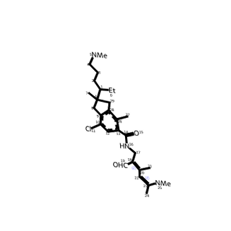 CCC(CCCNC)C1(C)Cc2c(Cl)cc(C(=O)NC/C(C=O)=C(C)/C=C(/C)NC)c(C)c2C1